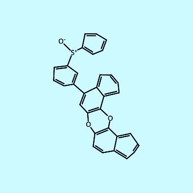 [O-][S+](c1ccccc1)c1cccc(-c2cc3c(c4ccccc24)Oc2c(ccc4ccccc24)O3)c1